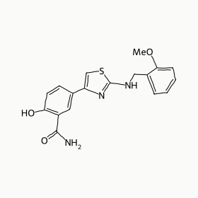 COc1ccccc1CNc1nc(-c2ccc(O)c(C(N)=O)c2)cs1